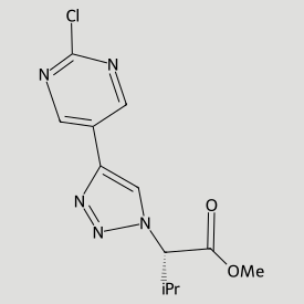 COC(=O)[C@H](C(C)C)n1cc(-c2cnc(Cl)nc2)nn1